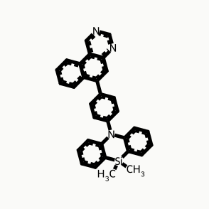 C[Si]1(C)c2ccccc2N(c2ccc(-c3cc4ncncc4c4ccccc34)cc2)c2ccccc21